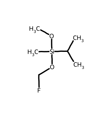 CO[Si](C)(OCF)C(C)C